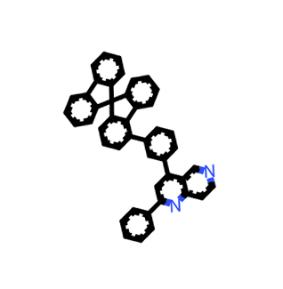 c1ccc(-c2cc(-c3cccc(-c4cccc5c4-c4ccccc4C54c5ccccc5-c5ccccc54)c3)c3cnccc3n2)cc1